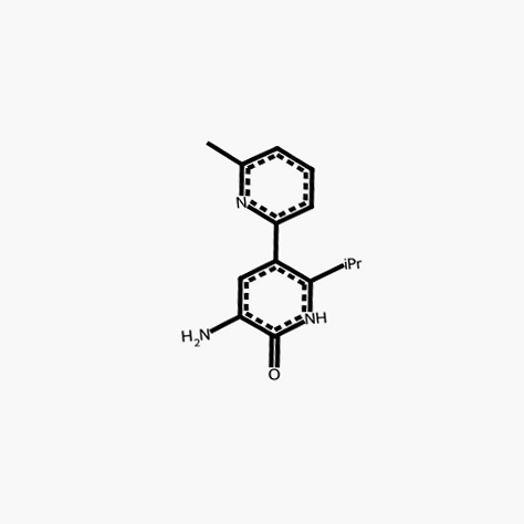 Cc1cccc(-c2cc(N)c(=O)[nH]c2C(C)C)n1